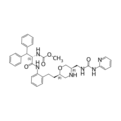 COC(=O)N[C@H](C(=O)Nc1ccccc1CC[C@@H]1CN[C@H](CNC(=O)Nc2ccccn2)CO1)C(c1ccccc1)c1ccccc1